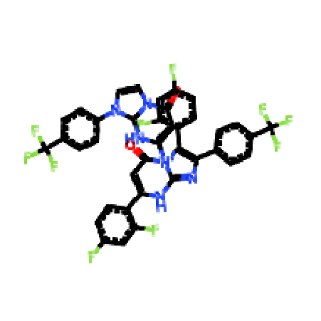 O=C1C=C([N+]23C(=O)C=C(c4ccc(F)cc4F)NC2=NC(c2ccc(C(F)(F)F)cc2)=C3c2ccc(F)cc2F)NC2N1C=CN2c1ccc(C(F)(F)F)cc1